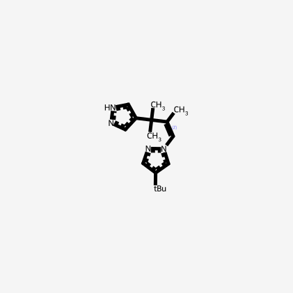 C/C(=C/n1cc(C(C)(C)C)cn1)C(C)(C)c1cn[nH]c1